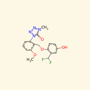 COc1cccc(-n2nnn(C)c2=O)c1COc1ccc(O)cc1C(F)F